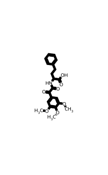 COc1cc(C(=O)C(=O)NC(CCc2ccccc2)C(=O)O)cc(OC)c1OC